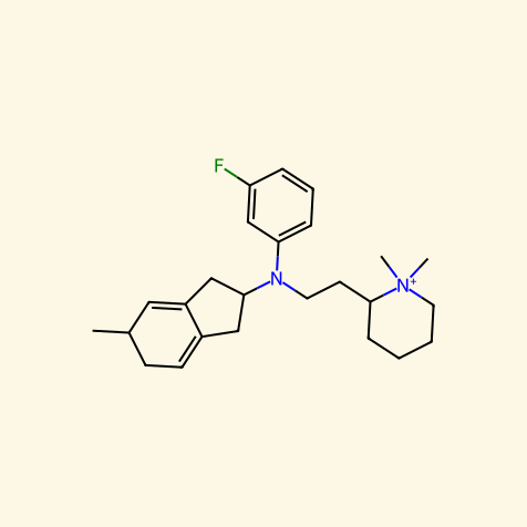 CC1C=C2CC(N(CCC3CCCC[N+]3(C)C)c3cccc(F)c3)CC2=CC1